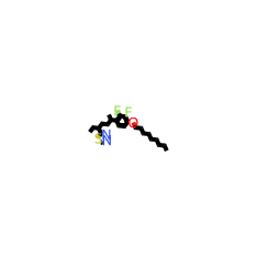 CCCCCCCCCOc1ccc(C(C)CCC(CC)c2nncs2)c(F)c1F